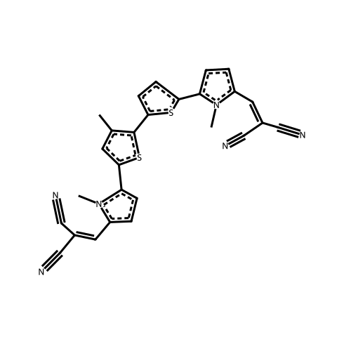 Cc1cc(-c2ccc(C=C(C#N)C#N)n2C)sc1-c1ccc(-c2ccc(C=C(C#N)C#N)n2C)s1